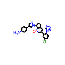 Nc1ccc(-c2cnn(C3CCc4cc(-c5cc(Cl)ccc5-n5cnnn5)c[n+]([O-])c43)c2)cc1